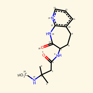 CC(C)(CC(=O)NC1CCc2cccnc2NC1=O)NC(=O)O